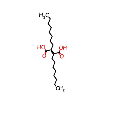 CCCCCCCCC(C(=O)O)=C(CCCCCCCC)C(=O)O